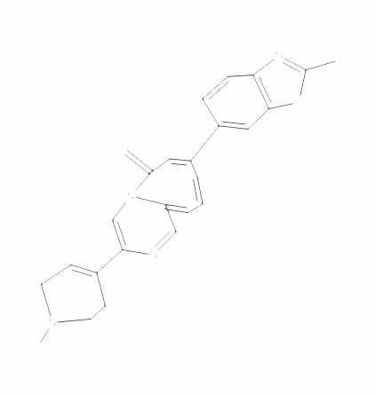 Cc1nc2ccc(C3=C\C(=O)N4C=C(C5=CCN(C)CC5)N=C\C4=C/C=C/3)cc2o1